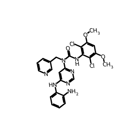 COc1cc(OC)c(Cl)c(NC(=O)N(Cc2cccnc2)c2cc(Nc3ccccc3N)ncn2)c1Cl